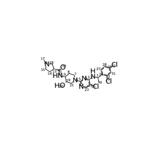 C[C@@H](Nc1nc(N2CC[C@H](NC(=O)[C@H]3CCN(C)C3)[C@@H](O)C2)ncc1Cl)c1ccc(Cl)cc1Cl